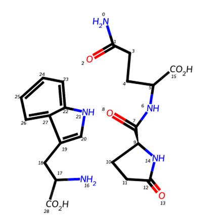 NC(=O)CCC(NC(=O)[C@@H]1CCC(=O)N1)C(=O)O.NC(Cc1c[nH]c2ccccc12)C(=O)O